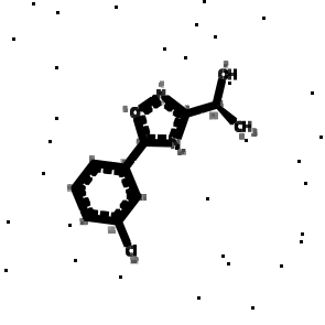 C[C@H](O)c1noc(-c2cccc(Cl)c2)n1